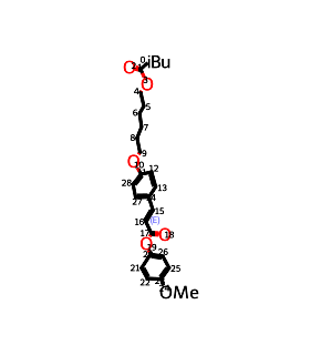 CCC(C)C(=O)OCCCCCCOc1ccc(/C=C/C(=O)Oc2ccc(OC)cc2)cc1